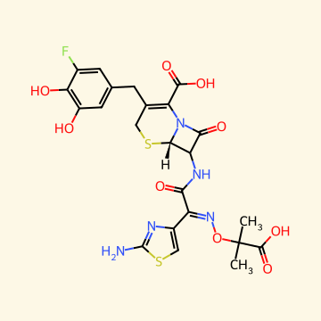 CC(C)(ON=C(C(=O)NC1C(=O)N2C(C(=O)O)=C(Cc3cc(O)c(O)c(F)c3)CS[C@@H]12)c1csc(N)n1)C(=O)O